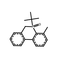 Cc1cccc2c1P(=O)(C(C)(C)C)Cc1ccccc1-2